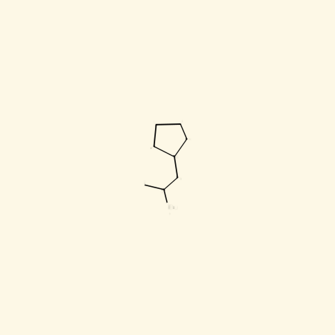 CCC(C)C(C)C[C]1CCCC1